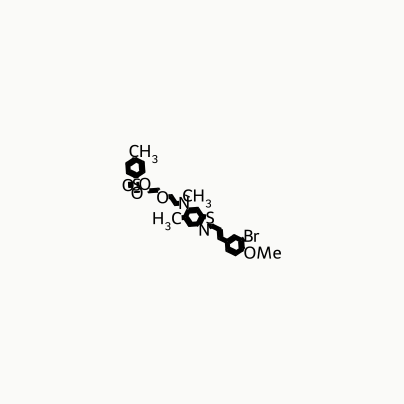 COc1ccc(C=Cc2nc3cc(C)c(N(C)CCOCCOS(=O)(=O)c4ccc(C)cc4)cc3s2)cc1Br